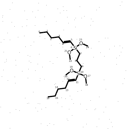 CCCCC=C[Si](CCC[Si](C=CCCCC)(OC)OC)(OC)OC